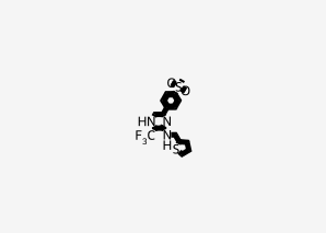 CS(=O)(=O)c1ccc(C2CNC(C(F)(F)F)C(NCC3CCCS3)=N2)cc1